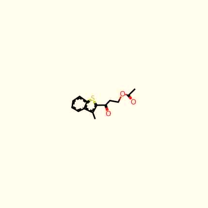 CC(=O)OCCC(=O)c1sc2ccccc2c1C